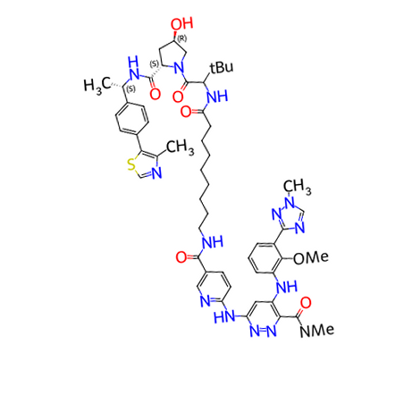 CNC(=O)c1nnc(Nc2ccc(C(=O)NCCCCCCCCC(=O)NC(C(=O)N3C[C@H](O)C[C@H]3C(=O)N[C@@H](C)c3ccc(-c4scnc4C)cc3)C(C)(C)C)cn2)cc1Nc1cccc(-c2ncn(C)n2)c1OC